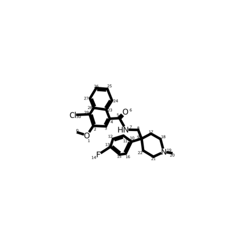 COc1cc(C(=O)NCC2(c3ccc(F)cc3)CCN(C)CC2)c2ccccc2c1Cl